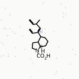 C=C/C(=C\C(C)C=C)C1CCC[C@@H]2C1CCN2C(=O)O